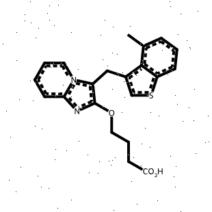 Cc1cccc2scc(Cc3c(OCCCC(=O)O)nc4ccccn34)c12